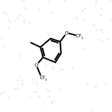 [CH2]c1cc(OC(F)(F)F)ccc1OC(F)(F)F